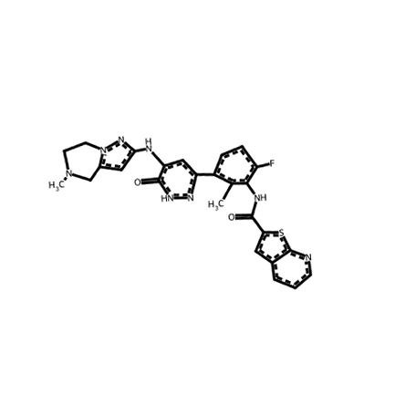 Cc1c(-c2cc(Nc3cc4n(n3)CCN(C)C4)c(=O)[nH]n2)ccc(F)c1NC(=O)c1cc2cccnc2s1